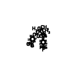 CC(C)(C)C(OC(=O)Oc1ccc([N+](=O)[O-])cc1)c1nnc(-c2ccc(C(F)(F)F)cc2)o1